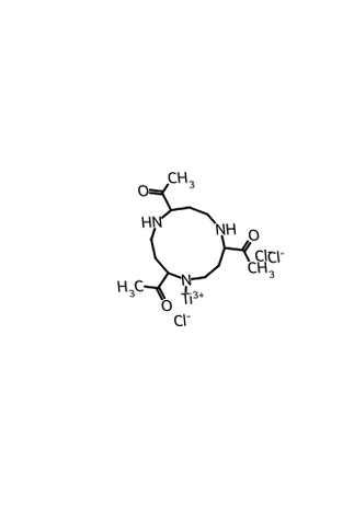 CC(=O)C1CCNC(C(C)=O)CC[N]([Ti+3])C(C(C)=O)CCN1.[Cl-].[Cl-].[Cl-]